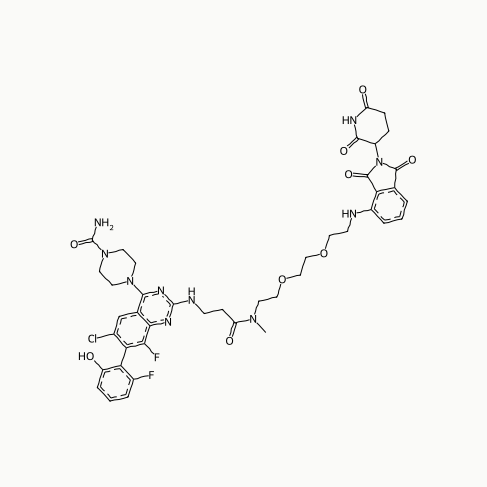 CN(CCOCCOCCNc1cccc2c1C(=O)N(C1CCC(=O)NC1=O)C2=O)C(=O)CCNc1nc(N2CCN(C(N)=O)CC2)c2cc(Cl)c(-c3c(O)cccc3F)c(F)c2n1